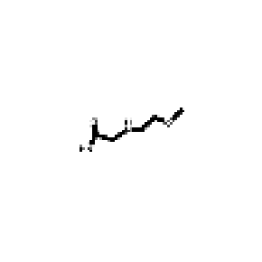 COCCNCC([NH])=O